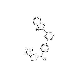 O=C(O)NC1CCN(C(=O)c2ccc(-c3cncc(-c4cc5ccccc5[nH]4)n3)cc2)C1